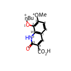 CCCCOc1c(OC)ccc2cc(C(=O)O)c(=O)[nH]c12